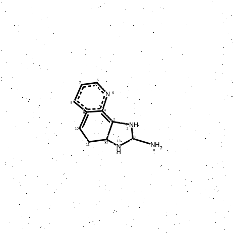 NC1NC2=c3ncccc3=CCC2N1